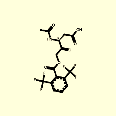 CC(=O)N[C@@H](CC(=O)O)C(=O)COC(=O)c1c(C(F)(F)F)cccc1C(F)(F)F